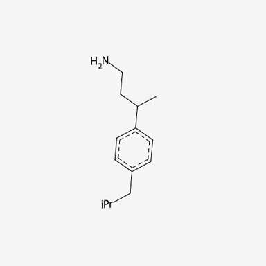 CC(C)Cc1ccc(C(C)CCN)cc1